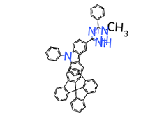 CN/C(=N\C(=N)c1ccc2c(c1)c1cc(-c3cccc4c3C3(c5ccccc5-c5ccccc53)c3ccccc3-4)ccc1n2-c1ccccc1)c1ccccc1